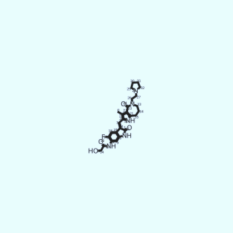 Cc1c(C=C2C(=O)Nc3cc(NC(=O)CO)c(F)cc32)[nH]c2c1C(=O)N(CCN1CCCC1)CCC2